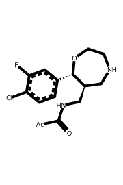 CC(=O)C(=O)NC[C@@H]1CNCCO[C@H]1c1ccc(Cl)c(F)c1